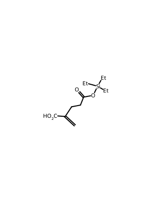 C=C(CCC(=O)O[Si](CC)(CC)CC)C(=O)O